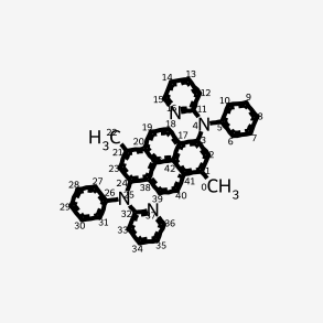 Cc1cc(N(c2ccccc2)c2ccccn2)c2ccc3c(C)cc(N(c4ccccc4)c4ccccn4)c4ccc1c2c34